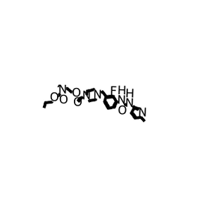 CCCOC(=O)N(C)CCOC(=O)N1CCN(Cc2cccc(NC(=O)Nc3ccc(C)nc3)c2F)CC1